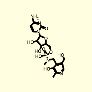 Cc1ncc(CO)c(CN(C)P(=O)(O)OCC2OC(n3ccc(N)nc3=O)C(O)C2O)c1O